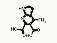 Cc1c(C(=O)O)c(C(=O)O)nc2[nH]ccc12